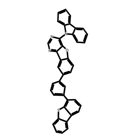 c1cc(-c2ccc3oc4c(-n5c6ccccc6c6ccccc65)ncnc4c3c2)cc(-c2cccc3c2sc2ccccc23)c1